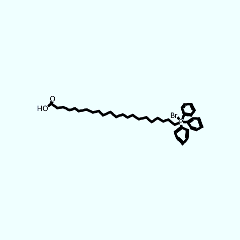 O=C(O)CCCCCCCCCCCCCCCCCCCCCP(Br)(c1ccccc1)(c1ccccc1)c1ccccc1